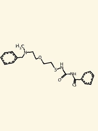 CN(CCOCCSNC(=O)NC(=O)c1ccccc1)Cc1ccccc1